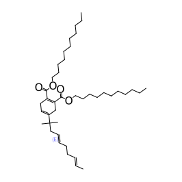 CC=CCC/C=C/CC(C)(C)C1=CCC(C(=O)OCCCCCCCCCCC)=C(C(=O)OCCCCCCCCCCC)C1